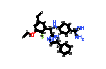 CCOc1cc(CC)cc(C(Nc2ccc(C(=N)N)cc2)c2nc(-c3ccccc3)c[nH]2)c1F